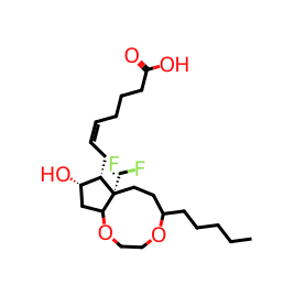 CCCCCC1CC[C@@]2([C](F)F)C(C[C@H](O)[C@@H]2C/C=C\CCCC(=O)O)OCCO1